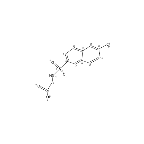 O=C(O)CNS(=O)(=O)c1ccc2cc(Cl)ccc2c1